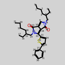 CCCCC(CC)CN1C=C2C(=O)N(CC(CC)CCCC)C(c3ccc(-c4ccccc4)s3)=C2C1=O